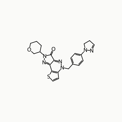 O=c1c2nn(Cc3ccc(N4CCC=N4)cc3)c3ccsc3c-2nn1C1CCCOC1